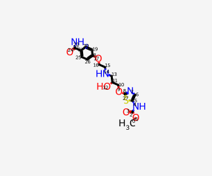 COC(=O)Nc1cnc(OCC(O)CNCCOc2ccc(C(N)=O)cc2)s1